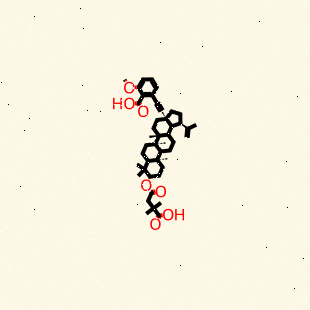 C=C(C)[C@@H]1CC[C@]2(C#Cc3cccc(OC)c3C(=O)O)CC[C@]3(C)C(CCC4[C@@]5(C)CC[C@H](OC(=O)CC(C)(C)C(=O)O)C(C)(C)C5CC[C@]43C)C12